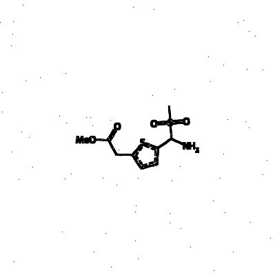 COC(=O)Cc1ccc(C(N)S(C)(=O)=O)s1